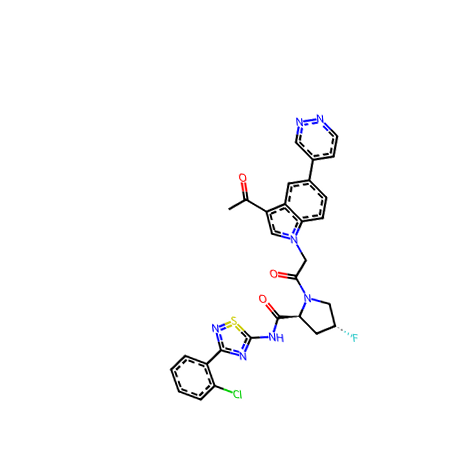 CC(=O)c1cn(CC(=O)N2C[C@H](F)C[C@H]2C(=O)Nc2nc(-c3ccccc3Cl)ns2)c2ccc(-c3ccnnc3)cc12